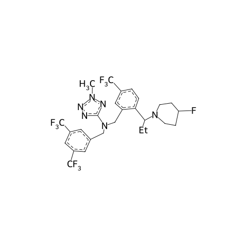 CCC(c1ccc(C(F)(F)F)cc1CN(Cc1cc(C(F)(F)F)cc(C(F)(F)F)c1)c1nnn(C)n1)N1CCC(F)CC1